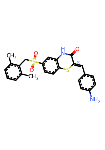 Cc1cccc(C)c1CS(=O)(=O)c1ccc2c(c1)NC(=O)/C(=C/c1ccc(N)cc1)S2